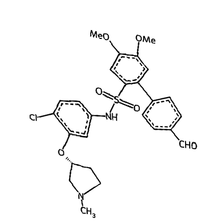 COc1cc(-c2ccc(C=O)cc2)c(S(=O)(=O)Nc2ccc(Cl)c(O[C@@H]3CCN(C)C3)c2)cc1OC